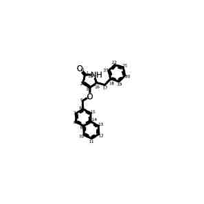 O=C1C=C(OCc2ccc3ccccc3c2)C(Cc2ccccc2)N1